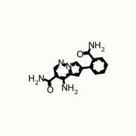 NC(=O)c1ccccc1-c1cc2c(N)c(C(N)=O)cnn2c1